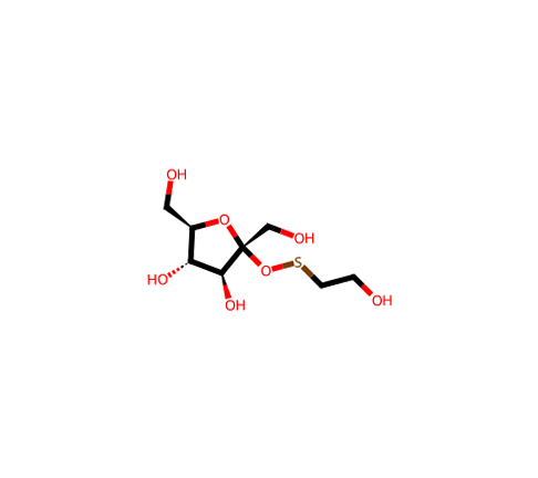 OCCSO[C@@]1(CO)O[C@H](CO)[C@@H](O)[C@@H]1O